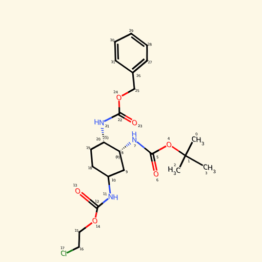 CC(C)(C)OC(=O)N[C@@H]1CC(NC(=O)OCCCl)CC[C@@H]1NC(=O)OCc1ccccc1